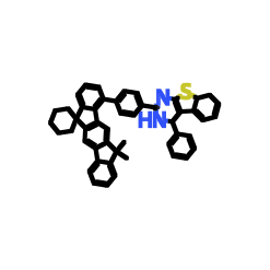 CC1(C)c2ccccc2-c2cc3c(cc21)-c1c(-c2ccc(C4=NC5=C(C6=CC=CCC6S5)C(c5ccccc5)N4)cc2)cccc1C31CCCCC1